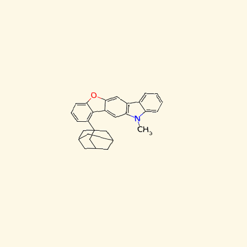 Cn1c2ccccc2c2cc3oc4cccc(C56CC7CC(CC(C7)C5)C6)c4c3cc21